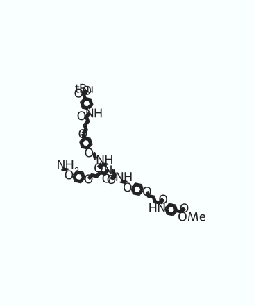 COC(=O)C1CCC(NC(=O)CCCOC2CCC(OCCNC(=O)CN(CC(=O)NCCOC3CCC(OCCCC(=O)NC4CCC(C(=O)OC(C)(C)C)CC4)CC3)C(=O)CCCOC3CCC(OCCN)CC3)CC2)CC1